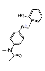 CC(=O)N(C)c1ccc(/N=C/c2ccccc2O)cc1